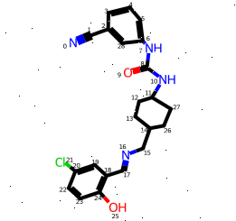 N#Cc1cccc(NC(=O)NC2CCC(CN=Cc3cc(Cl)ccc3O)CC2)c1